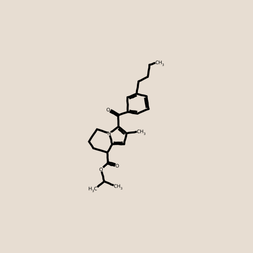 CCCCc1cccc(C(=O)c2c(C)cc3n2CCCC3C(=O)OC(C)C)c1